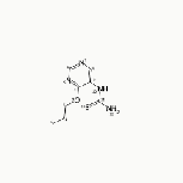 CCCOc1ncncc1NC(N)=S